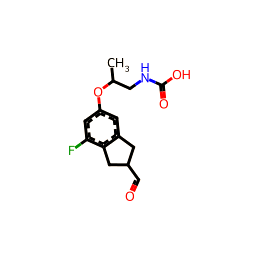 CC(CNC(=O)O)Oc1cc(F)c2c(c1)CC(C=O)C2